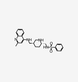 Cc1cc(NC[C@@H]2CC[C@@H](CNS(=O)(=O)c3ccccc3)NC2)c2ccccc2n1